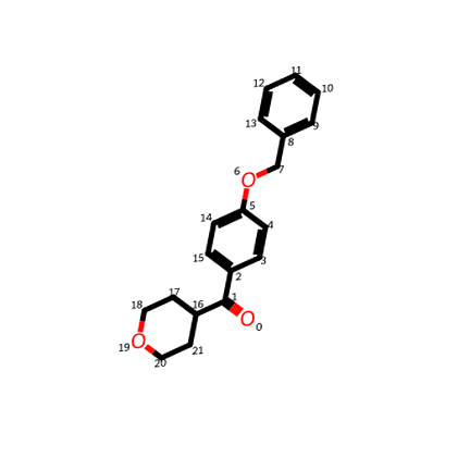 O=C(c1ccc(OCc2ccccc2)cc1)C1CCOCC1